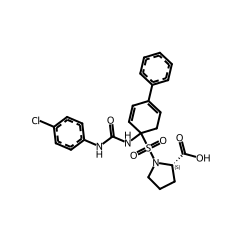 O=C(Nc1ccc(Cl)cc1)NC1(S(=O)(=O)N2CCC[C@H]2C(=O)O)C=CC(c2ccccc2)=CC1